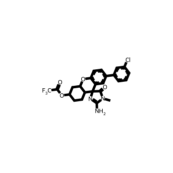 CN1C(=O)C2(N=C1N)c1cc(-c3cccc(Cl)c3)ccc1OC1CC(OC(=O)C(F)(F)F)CCC12